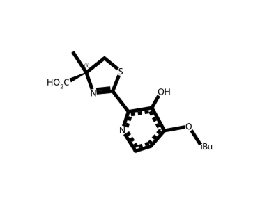 CCC(C)Oc1ccnc(C2=N[C@@](C)(C(=O)O)CS2)c1O